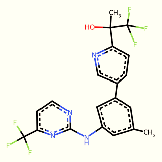 Cc1cc(Nc2nccc(C(F)(F)F)n2)cc(-c2ccc(C(C)(O)C(F)(F)F)nc2)c1